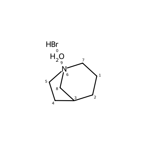 Br.C1CC2CCN(C1)C2.O